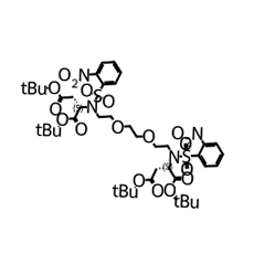 CC(C)(C)OC(=O)C[C@@H](C(=O)OC(C)(C)C)N(CCOCCOCCN([C@@H](CC(=O)OC(C)(C)C)C(=O)OC(C)(C)C)S(=O)(=O)c1ccccc1[N+](=O)[O-])S(=O)(=O)c1ccccc1[N+](=O)[O-]